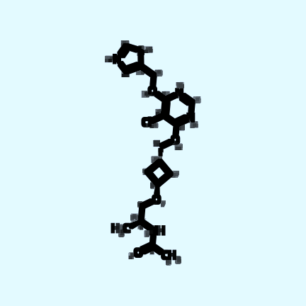 CC(=O)N[C@@H](C)CO[C@H]1C[C@H](COc2ncnc(OCc3cncs3)c2Cl)C1